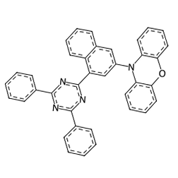 c1ccc(-c2nc(-c3ccccc3)nc(-c3cc(N4c5ccccc5Oc5ccccc54)cc4ccccc34)n2)cc1